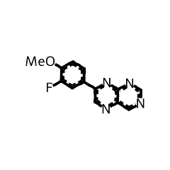 COc1ccc(-c2cnc3cncnc3n2)cc1F